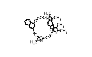 Cc1c(C)n2c3ccc(Cl)c(c13)-c1c(nn(C)c1C)CSCc1cc(n(C)n1)CSc1cc(c3ccccc3c1)OCCC2